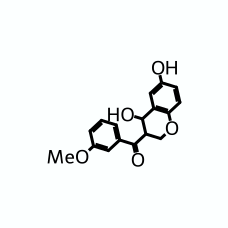 COc1cccc(C(=O)C2COc3ccc(O)cc3C2O)c1